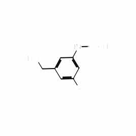 O=C(O)Nc1cc(Br)cc(CO)c1